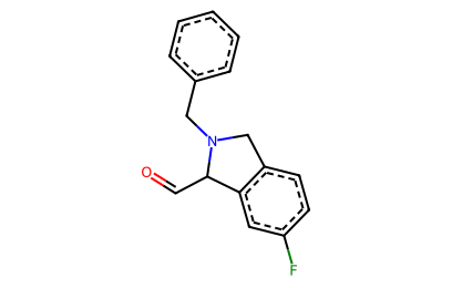 O=CC1c2cc(F)ccc2CN1Cc1ccccc1